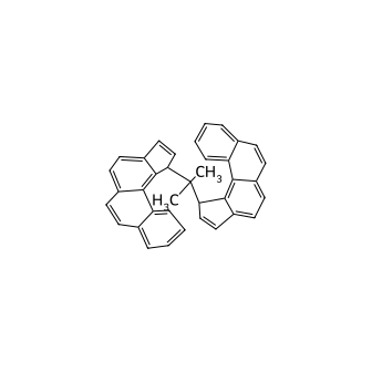 CC(C)(C1C=Cc2ccc3ccc4ccccc4c3c21)C1C=Cc2ccc3ccc4ccccc4c3c21